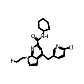 O=C(NC1CCCCC1)c1cc(Cc2ccc(Cl)nc2)c2ccn(CCF)c2n1